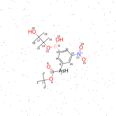 CC(C)(C)OC(=O)[AsH]c1cc(B(O)OC(C)(C)C(C)(C)O)cc([N+](=O)[O-])c1